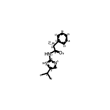 CC(C)c1cnc(NC(=O)[C@H](C)c2ccccc2)s1